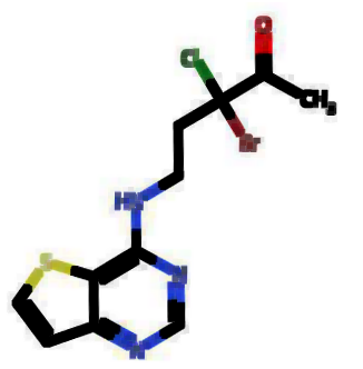 CC(=O)C(Cl)(Br)CCNc1ncnc2ccsc12